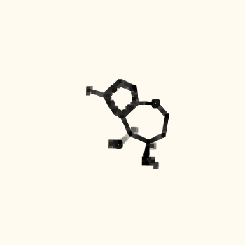 N[C@@H]1CCOc2ccc(F)cc2[C@H]1O